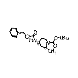 C[C@H]1C[C@H](NC(=O)OCc2ccccc2)CCN1C(=O)OC(C)(C)C